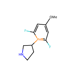 COC1=CC(F)=[PH](C2CCNC2)C(F)=C1